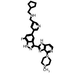 CN1CCN(c2nccc3[nH]c(-c4n[nH]c5c(F)cc(-c6cncc(CNCC7CCCC7)c6)cc45)nc23)CC1